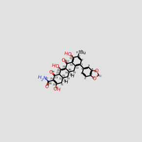 CC(C)(C)c1cc(-c2ccc3c(c2)OCO3)c2c(c1O)C(=O)C1=C(O)C3C(=O)C(C(N)=O)=C(O)C[C@@H]3C[C@@H]1C2